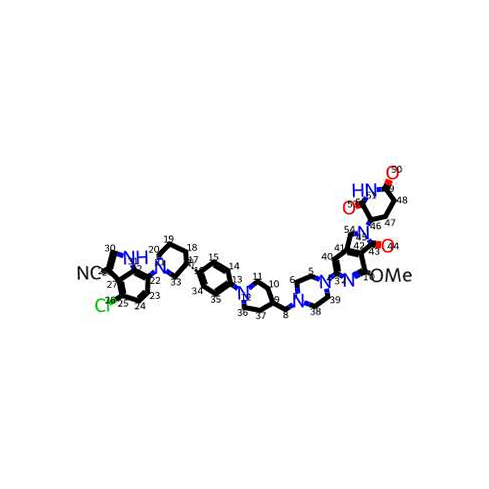 COc1nc(N2CCN(CC3CCN(c4ccc([C@H]5CCCN(c6ccc(Cl)c7c(C#N)c[nH]c67)C5)cc4)CC3)CC2)cc2c1C(=O)N(C1CCC(=O)NC1=O)C2